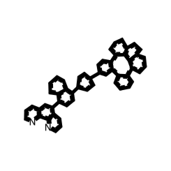 c1cnc2c(c1)cc(-c1ccc(-c3ccc(-c4ccc5c(c4)c4ccccc4c4cccc6ccc7cccc5c7c64)cc3)c3ccccc13)c1cccnc12